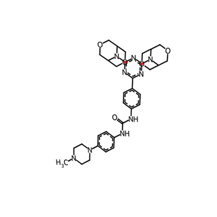 CN1CCN(c2ccc(NC(=O)Nc3ccc(-c4nc(N5C6COCC5COC6)nc(N5C6COCC5COC6)n4)cc3)cc2)CC1